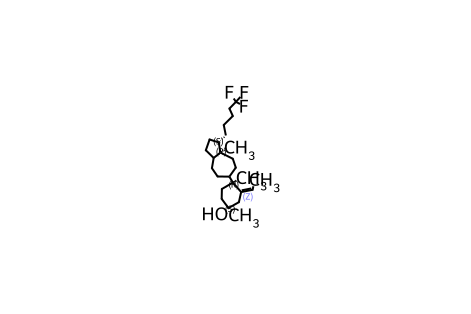 C/C=C1/C[C@@](C)(O)CC[C@]1(C)C1CCC2CC[C@H](CCCCC(F)(F)F)[C@@]2(C)CC1